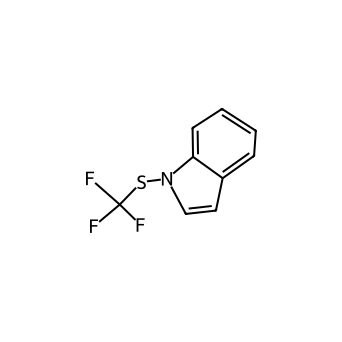 FC(F)(F)Sn1ccc2ccccc21